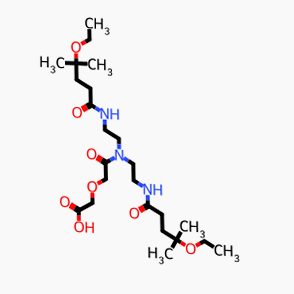 CCOC(C)(C)CCC(=O)NCCN(CCNC(=O)CCC(C)(C)OCC)C(=O)COCC(=O)O